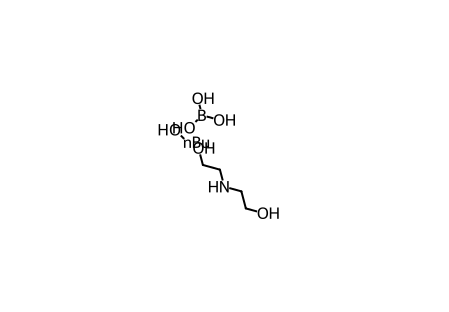 CCCCO.OB(O)O.OCCNCCO